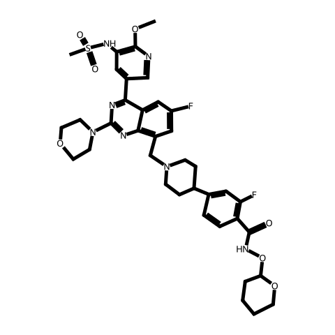 COc1ncc(-c2nc(N3CCOCC3)nc3c(CN4CCC(c5ccc(C(=O)NOC6CCCCO6)c(F)c5)CC4)cc(F)cc23)cc1NS(C)(=O)=O